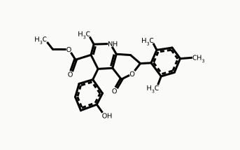 CCOC(=O)C1=C(C)NC2=C(C(=O)OC(c3c(C)cc(C)cc3C)C2)C1c1cccc(O)c1